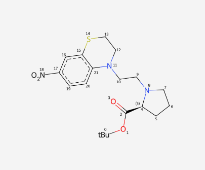 CC(C)(C)OC(=O)[C@@H]1CCCN1CCN1CCSc2cc([N+](=O)[O-])ccc21